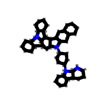 c1ccc2cc3c(cc2c1)c1c2c4ccccc4n4c5ccccc5c(cc1n3-c1ccc(-n3c5ccccc5c5cccnc53)cc1)c24